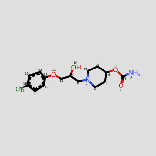 NC(=O)OC1CCN(CC(O)COc2ccc(Cl)cc2)CC1